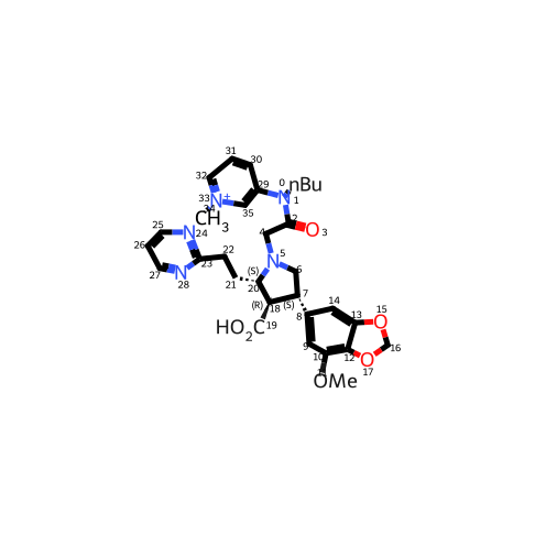 CCCCN(C(=O)CN1C[C@H](c2cc(OC)c3c(c2)OCO3)[C@@H](C(=O)O)[C@@H]1CCc1ncccn1)c1ccc[n+](C)c1